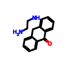 NCCN.O=C1c2ccccc2Cc2ccccc21